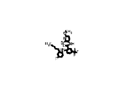 C=CCCCc1cc(F)ccc1Nc1ccc(C(F)(F)F)cc1C(=O)Nc1ccc(OC)nc1Br